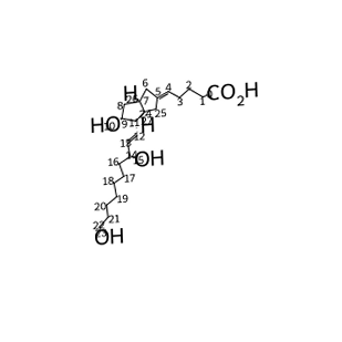 O=C(O)CCCC=C1C[C@H]2C[C@H](O)[C@@H](C=CC(O)CCCCCCCO)[C@@H]2C1